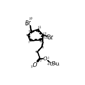 CC(C)(C)OC(=O)CCc1ccc(Br)cc1Br